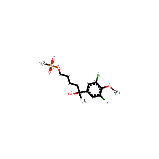 COc1c(F)cc(C(C)(O)CCCCOS(C)(=O)=O)cc1Br